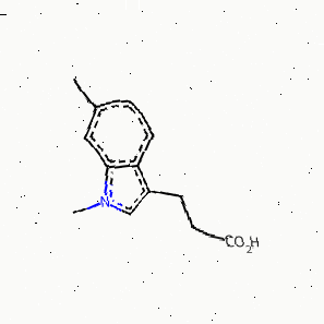 Cc1ccc2c(CCC(=O)O)cn(C)c2c1